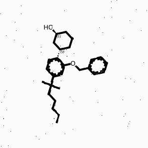 CCCCCC(C)(C)c1ccc([C@H]2CCC[C@H](O)C2)c(OCc2ccccc2)c1